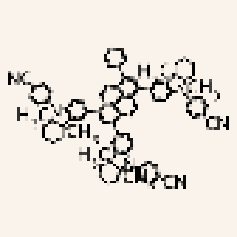 CC12CCCCC1(C)N(c1ccc(C#N)cc1)c1ccc(-c3cc(-c4ccccc4)c4ccc5c(-c6ccc7c(c6)C6(C)CCCCC6(C)N7c6ccc(C#N)cc6)cc(-c6ccc7c(c6)C6(C)CCCCC6(C)N7c6ccc(C#N)cc6)c6ccc3c4c56)cc12